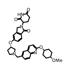 CO[C@H]1CC[C@@H](Oc2ccc3cc(CN4CC[C@H](Oc5ccc6c(c5)CN(C5CCC(=O)NC5=O)C6=O)C4)ccc3n2)CC1